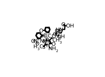 CSc1nnc(C(C)(C)C)c(=O)n1N.Nc1c([N+](=O)[O-])ccc(Oc2ccccc2)c1Cl.O=C(O)CNCP(=O)(O)O